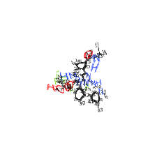 CCN(CCNc1nc(-c2cc(C(=O)NC(C)C)ccc2C)c2c(n1)N(c1c(F)cccc1F)C(=O)NC2)c1cccc(C)c1.O=C(O)C(F)(F)F